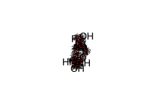 C#Cc1c(F)ccc2cc(O)cc(-c3ncc4c(N5CC6CCC(C5)N6)nc(OC[C@@H]5CCCN5CCCOCCC(=O)N[C@H](C(=O)N5C[C@H](O)C[C@H]5C(=O)N[C@@H](C)c5ccc(-c6c(C)cccc6C)cc5)C(C)(C)C)nc4c3F)c12